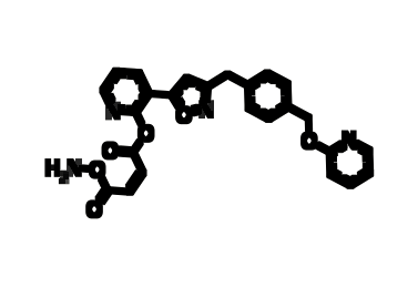 NOC(=O)/C=C\C(=O)Oc1ncccc1-c1cc(Cc2ccc(COc3ccccn3)cc2)no1